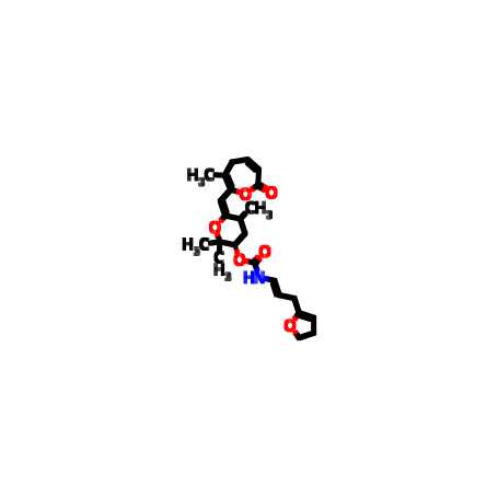 CC1=C(/C=C2/OC(C)(C)[C@H](OC(=O)N/C=C/CC3=CCCO3)CC2C)OC(=O)C=CC1